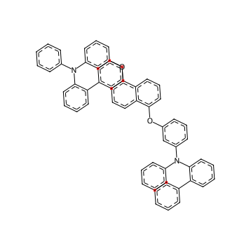 c1ccc(-c2ccccc2N(c2ccccc2)c2cccc(Oc3cccc4c(Oc5cccc(N(c6ccccc6)c6ccccc6-c6ccccc6)c5)cccc34)c2)cc1